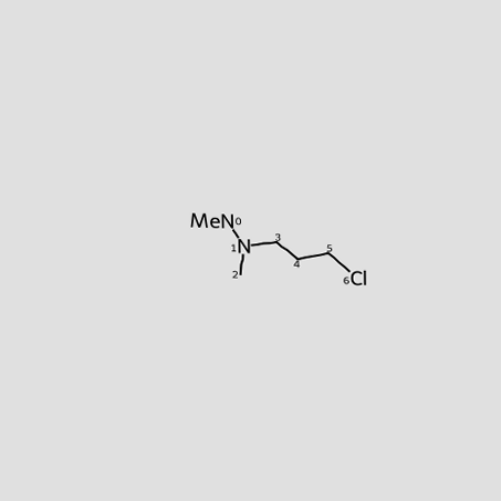 CNN(C)CCCCl